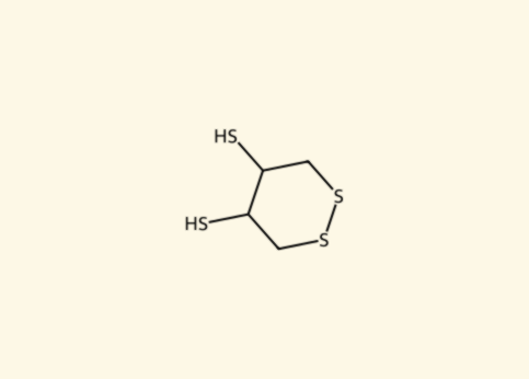 SC1CSSCC1S